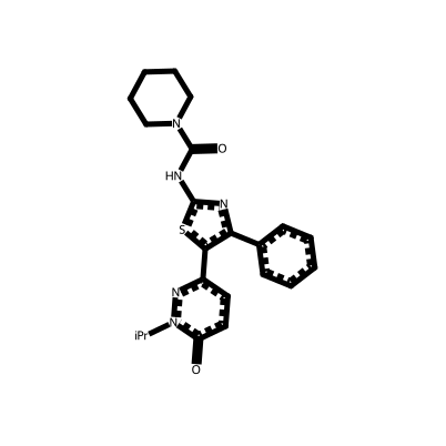 CC(C)n1nc(-c2sc(NC(=O)N3CCCCC3)nc2-c2ccccc2)ccc1=O